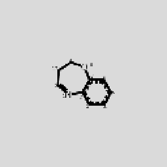 [C]1=Nc2ccccc2OCC1